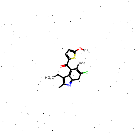 COC1=C(Cl)CC2=NC(C)=C(CC(=O)O)C2=C1C(=O)c1ccc(OC(F)(F)F)s1